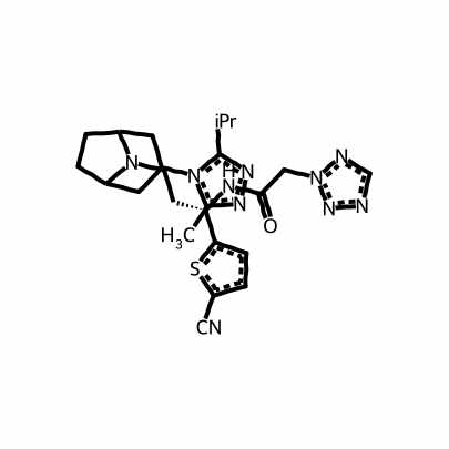 Cc1nnc(C(C)C)n1C1CC2CCC(C1)N2CC[C@H](NC(=O)Cn1ncnn1)c1ccc(C#N)s1